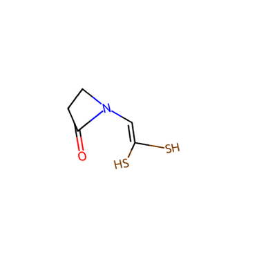 O=C1CCN1C=C(S)S